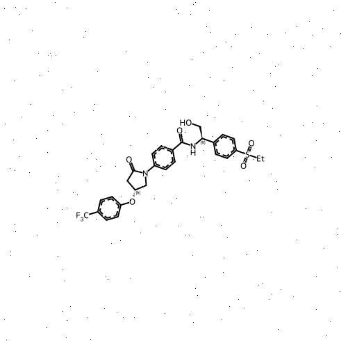 CCS(=O)(=O)c1ccc([C@H](CO)NC(=O)c2ccc(N3C[C@H](Oc4ccc(C(F)(F)F)cc4)CC3=O)cc2)cc1